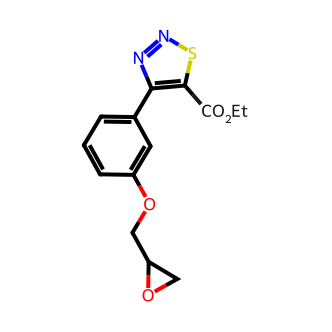 CCOC(=O)c1snnc1-c1cccc(OCC2CO2)c1